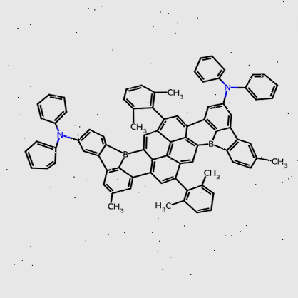 Cc1ccc2c(c1)-c1cc(N(c3ccccc3)c3ccccc3)cc3c1B2c1cc2c(-c4c(C)cccc4C)cc4c5c(cc6c(-c7c(C)cccc7C)cc-3c1c6c25)B1c2ccc(N(c3ccccc3)c3ccccc3)cc2-c2cc(C)cc-4c21